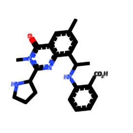 Cc1cc(C(C)Nc2ccccc2C(=O)O)c2nc(C3CCCN3)n(C)c(=O)c2c1